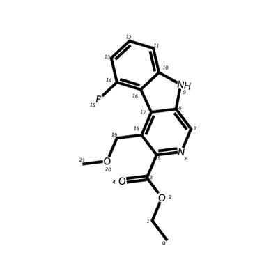 CCOC(=O)c1ncc2[nH]c3cccc(F)c3c2c1COC